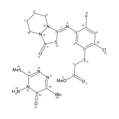 COC(=O)CSc1cc(/N=c2\sc(=O)n3n2CCCC3)c(F)cc1Cl.CSc1nnc(C(C)(C)C)c(=O)n1N